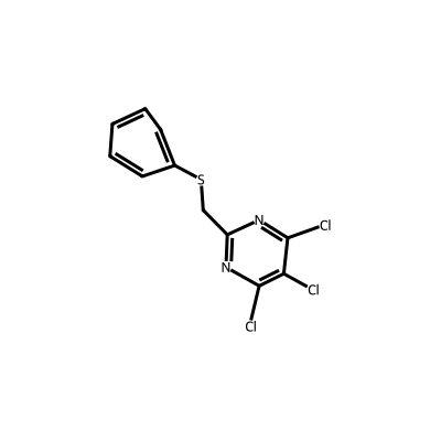 Clc1nc(CSc2ccccc2)nc(Cl)c1Cl